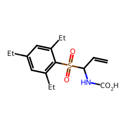 C=CC(NC(=O)O)S(=O)(=O)c1c(CC)cc(CC)cc1CC